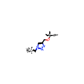 CC(C)(C)[Si](C)(C)OCc1cn(CC(=O)O)nn1